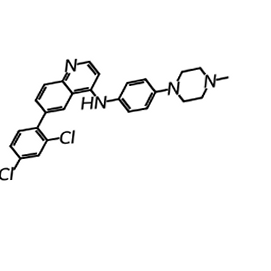 CN1CCN(c2ccc(Nc3ccnc4ccc(-c5ccc(Cl)cc5Cl)cc34)cc2)CC1